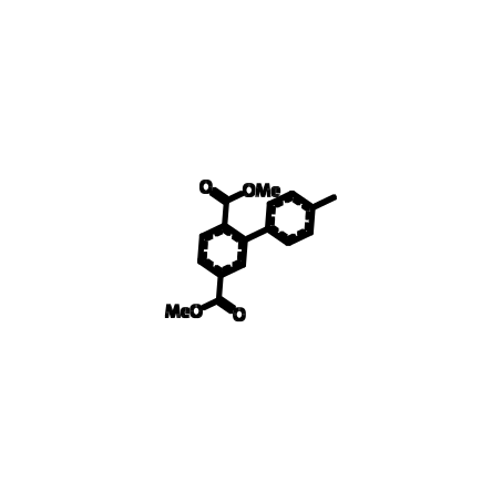 COC(=O)c1ccc(C(=O)OC)c(-c2ccc(C)cc2)c1